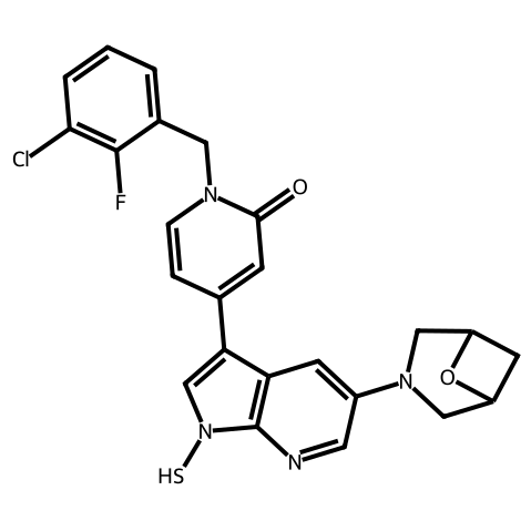 O=c1cc(-c2cn(S)c3ncc(N4CC5CC(C4)O5)cc23)ccn1Cc1cccc(Cl)c1F